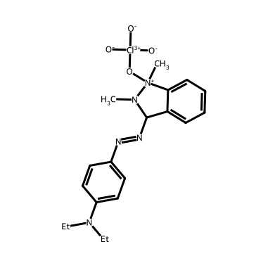 CCN(CC)c1ccc(N=NC2c3ccccc3[N+](C)(O[Cl+3]([O-])([O-])[O-])N2C)cc1